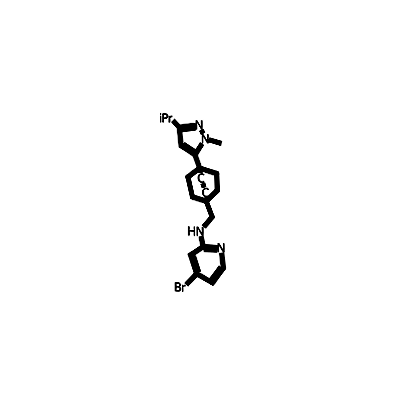 CC(C)c1cc(C23CCC(CNc4cc(Br)ccn4)(CC2)CC3)n(C)n1